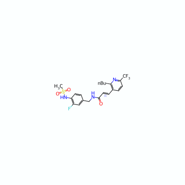 CCCCc1nc(C(F)(F)F)ccc1/C=C/C(=O)NCc1ccc(NS(C)(=O)=O)c(F)c1